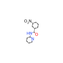 O=C(Nc1ccccn1)c1cccc([N+](=O)[O-])c1